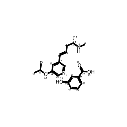 CN[C@@H](C)CC=Cc1cncc(OC(C)C)c1.O=C(O)c1cccc(O)c1